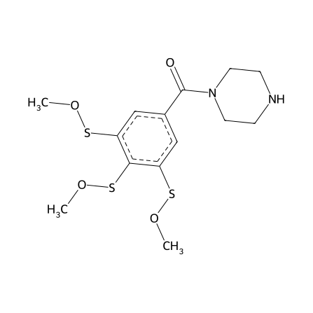 COSc1cc(C(=O)N2CCNCC2)cc(SOC)c1SOC